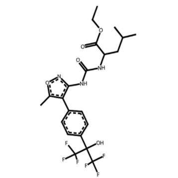 CCOC(=O)C(CC(C)C)NC(=O)Nc1noc(C)c1-c1ccc(C(O)(C(F)(F)F)C(F)(F)F)cc1